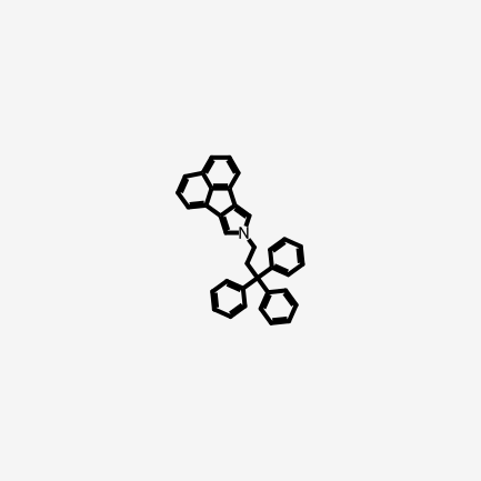 c1ccc(C(CCn2cc3c(c2)-c2cccc4cccc-3c24)(c2ccccc2)c2ccccc2)cc1